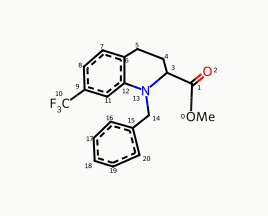 COC(=O)C1CCc2ccc(C(F)(F)F)cc2N1Cc1ccccc1